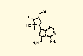 CC1(O)C(n2cc(CN)c3c(N)ncnc32)OC(CO)[C@H]1O